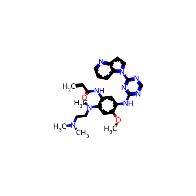 C=CC(=O)Nc1cc(Nc2ncnc(-n3ccc4ncccc43)n2)c(OC)cc1N(C)CCN(C)C